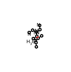 Cc1cc(-c2ccccc2)ccc1N(c1ccc(-c2ccccc2)cc1)c1ccccc1-c1cccc(-c2nc(-c3cccc(-c4cccnc4)c3)nc(-c3cccc(-c4cccnc4)c3)n2)c1